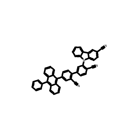 N#Cc1ccc2c(c1)c1ccccc1n2-c1cc(-c2ccc(-c3c4ccccc4c(-c4ccccc4)c4ccccc34)cc2C#N)ccc1C#N